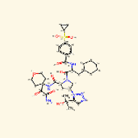 CC(C)(O)c1cnnn1[C@H]1C[C@@H](C(=O)NC2(C(=O)C(N)=O)CCOCC2)N(C(=O)C(CC2CCCCC2)NC(=O)c2ccc(S(=O)(=O)C3CC3)cc2)C1